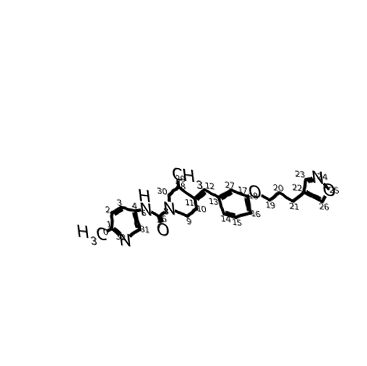 Cc1ccc(NC(=O)N2CCC(=Cc3cccc(OCCCc4cnoc4)c3)C(C)C2)cn1